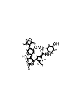 COc1cc2c(cc1-c1c(C)noc1C)[nH]c1nc(C)nc(-c3cc(C(=O)NC4CCC(O)CC4)[nH]c3C(C)C)c12